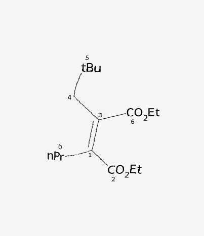 CCC/C(C(=O)OCC)=C(\CC(C)(C)C)C(=O)OCC